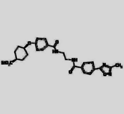 CCOC(=O)[C@H]1CC[C@@H](Oc2ccc(C(=O)NCCNC(=O)c3ccc(-c4nc(C)no4)cc3)cc2)CC1